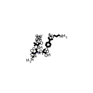 C[n+]1cc(-c2ccc(OC[C@@](C)(O/N=C(\C(=O)N[C@@H]3C(=O)N(OS(=O)(=O)[O-])C3(C)C)c3nc(N)sc3Cl)C(=O)O)cc2)cn1CCCN